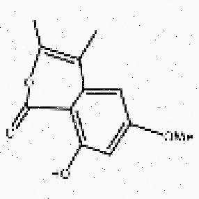 COc1cc(O)c2c(=O)oc(C)c(C)c2c1